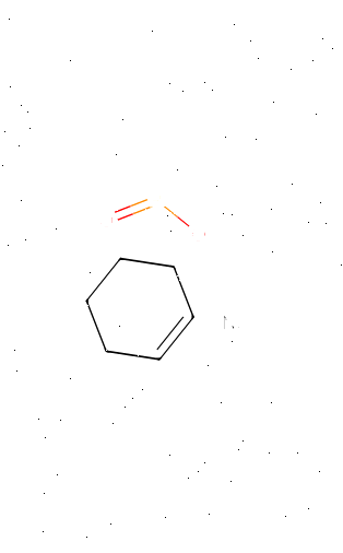 C1=CCCCC1.O=P[O-].[Na+]